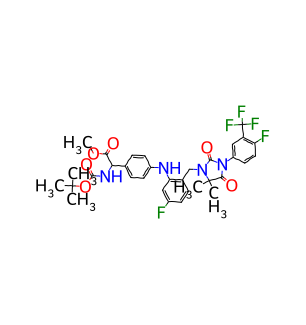 COC(=O)C(NC(=O)OC(C)(C)C)c1ccc(Nc2cc(F)ccc2CN2C(=O)N(c3ccc(F)c(C(F)(F)F)c3)C(=O)C2(C)C)cc1